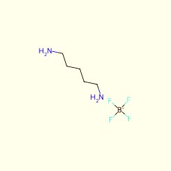 F[B-](F)(F)F.NCCCCCN